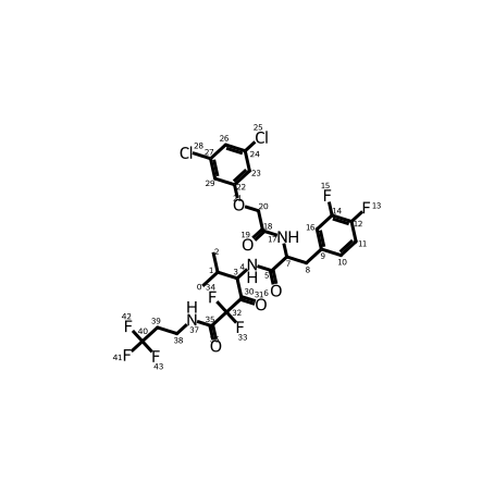 CC(C)C(NC(=O)C(Cc1ccc(F)c(F)c1)NC(=O)COc1cc(Cl)cc(Cl)c1)C(=O)C(F)(F)C(=O)NCCC(F)(F)F